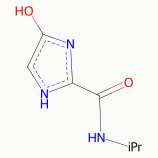 CC(C)NC(=O)c1nc(O)c[nH]1